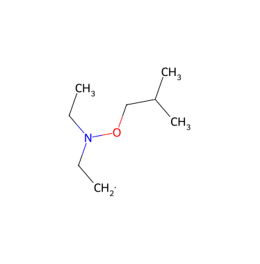 [CH2]CN(CC)OCC(C)C